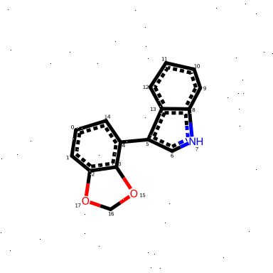 c1cc2c(c(-c3c[nH]c4ccccc34)c1)OCO2